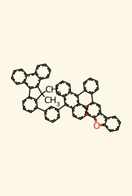 CC1(C)c2c(-c3cccc(-c4c5ccccc5c(-c5ccccc5-c5ccc6oc7ccccc7c6c5)c5ccccc45)c3)cccc2-c2c1c1ccccc1c1ccccc21